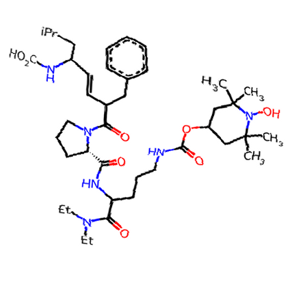 CCN(CC)C(=O)C(CCCNC(=O)OC1CC(C)(C)N(O)C(C)(C)C1)NC(=O)[C@@H]1CCCN1C(=O)C(/C=C/C(CC(C)C)NC(=O)O)Cc1ccccc1